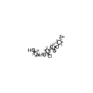 O=C1[C@@H](Oc2ccc(C3CC3)cc2)CCN1c1ccc(OCCN2CC[C@@H](O)C2)c(Cl)c1